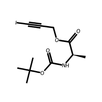 C[C@@H](NC(=O)OC(C)(C)C)C(=O)OCC#CI